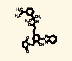 C=C(C)c1cccc(C(C)(C)NC(=O)CCc2cc(CN3C(=O)C=CC3=O)c(O)c(-n3nc4ccccc4n3)c2)c1